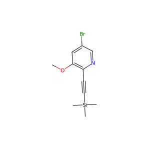 COc1cc(Br)cnc1C#C[Si](C)(C)C